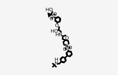 CC(C)(C)NCc1ccc(-c2cccc(S(=O)(=O)N3CCC4(CC3)C[C@@H](NCC(O)COc3cccc(S(=O)(=O)C5(CO)CC5)c3)CO4)c2)cc1